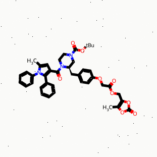 Cc1oc(=O)oc1COC(=O)COc1ccc(C[C@@H]2CN(C(=O)OC(C)(C)C)CCN2C(=O)c2cc(C)n(-c3ccccc3)c2-c2ccccc2)cc1